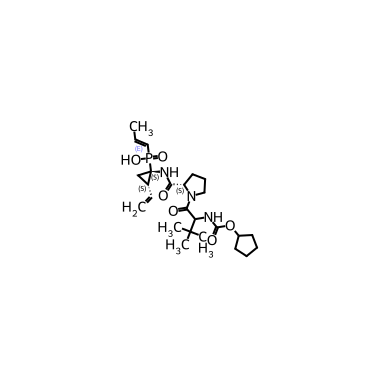 C=C[C@@H]1C[C@]1(NC(=O)[C@@H]1CCCN1C(=O)C(NC(=O)OC1CCCC1)C(C)(C)C)P(=O)(O)/C=C/C